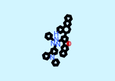 c1ccc(C2N=C(c3ccc4c(c3)c3ccccc3n4-c3ccccc3)N=C(c3cc(C4CCc5cc6ccccc6cc5-c5ccccc54)cc4oc5cc6ccccc6cc5c34)N2)cc1